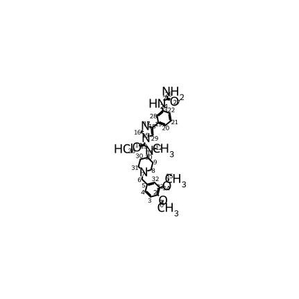 COc1ccc(CN2CCC(N(C)C(=O)n3cnc(-c4cccc(NC(N)=O)c4)c3)CC2)cc1OC.Cl